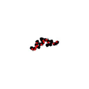 Cc1cc(C)c(B(c2ccc3oc4ccc(-n5c6ccccc6c6ccc7c(c8ccccc8n7-c7ccc8oc9ccccc9c8c7)c65)cc4c3c2)c2ccc3oc4ccc(-n5c6ccccc6c6ccc7c(c8ccccc8n7-c7ccc8oc9ccccc9c8c7)c65)cc4c3c2)c(C)c1